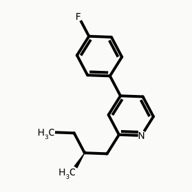 CC[C@H](C)Cc1cc(-c2ccc(F)cc2)ccn1